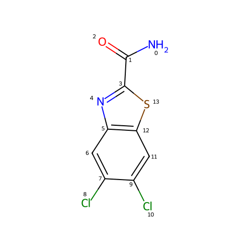 NC(=O)c1nc2cc(Cl)c(Cl)cc2s1